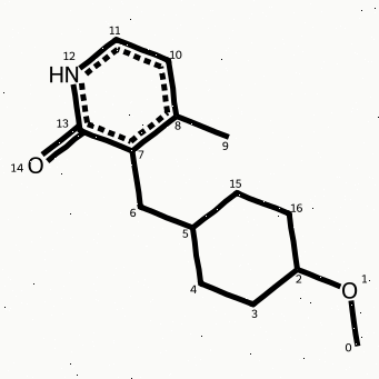 COC1CCC(Cc2c(C)cc[nH]c2=O)CC1